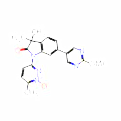 COc1ncc(-c2ccc3c(c2)N(c2ccc(C)[n+]([O-])n2)C(=O)C3(C)C)cn1